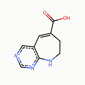 O=C(O)C1=Cc2cncnc2NCC1